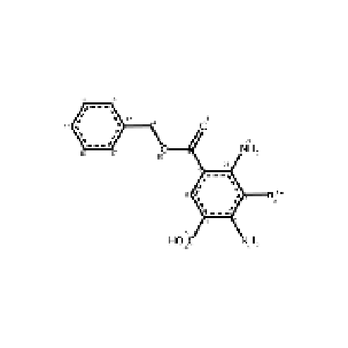 CCCc1c(N)c(C(=O)O)cc(C(=O)OCc2ccccc2)c1N